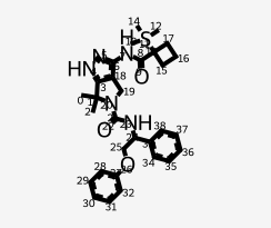 CC1(C)c2[nH]nc(NC(=O)C3(S(C)(C)C)CCC3)c2CN1C(=O)NC(COc1ccccc1)c1ccccc1